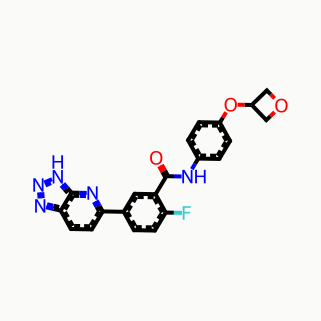 O=C(Nc1ccc(OC2COC2)cc1)c1cc(-c2ccc3nn[nH]c3n2)ccc1F